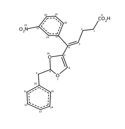 O=C(O)CCC=C(C1=COC(Cc2ccccc2)O1)c1cccc([N+](=O)[O-])c1